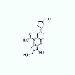 CCn1ncc(/N=C2C=C/C(=[N+]3/CCC(CO)C3)C=C/2NC(C)=O)c1N